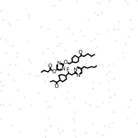 CCCCC(=O)C1CCC(COc2ncc(OC(=O)CCC)cn2)CC1.CCCCCc1cnc(CC(F)C2CCC(C(=O)CC)CC2)nc1